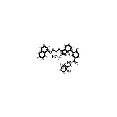 Cc1ccc(C(=O)NCC2C[C@@H]3CC[C@H]2C3)cc1-c1cccc2c(CCCOc3cccc4ccccc34)c(C(=O)O)[nH]c12